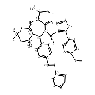 COc1ccc(-c2ocnc2C(=O)N2C3=CCCC(O)=C3NC3=C(C(=O)CC(C)(C)C3)C2c2ccc(OCc3ccccc3)cc2F)cc1